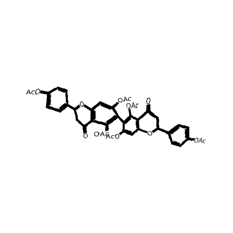 CC(=O)Oc1ccc(C2CC(=O)c3c(cc(OC(C)=O)c(-c4c(OC(C)=O)cc5c(c4OC(C)=O)C(=O)CC(c4ccc(OC(C)=O)cc4)O5)c3OC(C)=O)O2)cc1